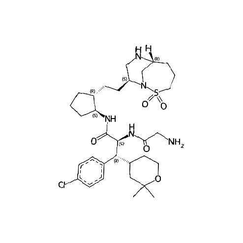 CC1(C)CC([C@H](c2ccc(Cl)cc2)[C@H](NC(=O)CN)C(=O)N[C@H]2CCC[C@@H]2CC[C@H]2CN[C@@H]3CCCS(=O)(=O)N2C3)CCO1